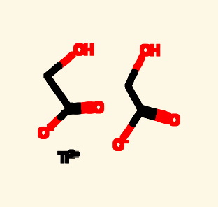 O=C([O-])CO.O=C([O-])CO.[Ti+2]